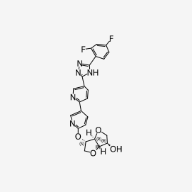 O[C@@H]1CO[C@H]2[C@@H]1OC[C@@H]2Oc1ccc(-c2ccc(-c3nnc(-c4ccc(F)cc4F)[nH]3)cn2)cn1